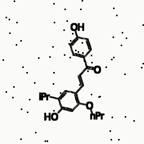 CCCOc1cc(O)c(C(C)C)cc1C=CC(=O)c1ccc(O)cc1